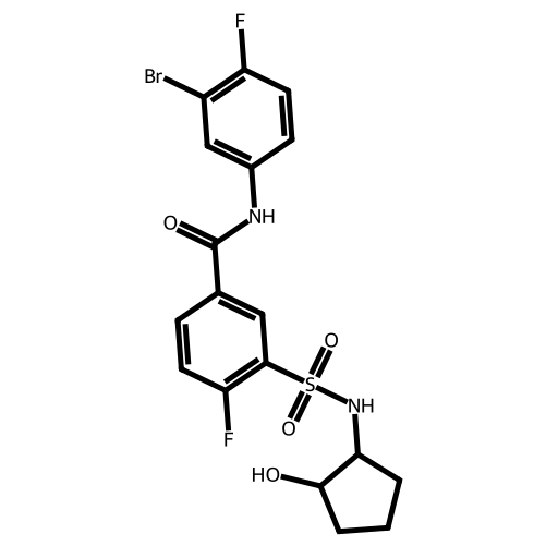 O=C(Nc1ccc(F)c(Br)c1)c1ccc(F)c(S(=O)(=O)NC2CCCC2O)c1